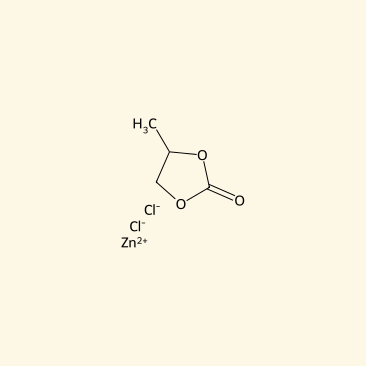 CC1COC(=O)O1.[Cl-].[Cl-].[Zn+2]